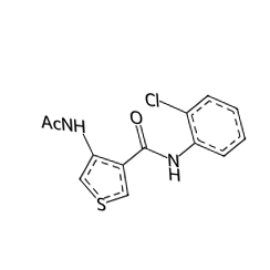 CC(=O)Nc1cscc1C(=O)Nc1ccccc1Cl